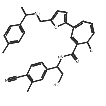 Cc1ccc(C(C)NCc2ccc(C3=CC=CC(Cl)C(C(=O)NC(CO)c4ccc(C#N)c(C)c4)=C3)o2)cc1